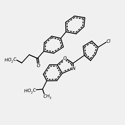 CC(C(=O)O)c1ccc2oc(-c3ccc(Cl)cc3)nc2c1.O=C(O)CCC(=O)c1ccc(-c2ccccc2)cc1